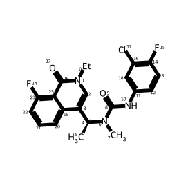 CCn1cc([C@H](C)N(C)C(=O)Nc2ccc(F)c(Cl)c2)c2cccc(F)c2c1=O